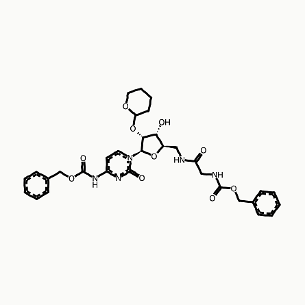 O=C(CNC(=O)OCc1ccccc1)NC[C@H]1O[C@@H](n2ccc(NC(=O)OCc3ccccc3)nc2=O)[C@H](OC2CCCCO2)[C@@H]1O